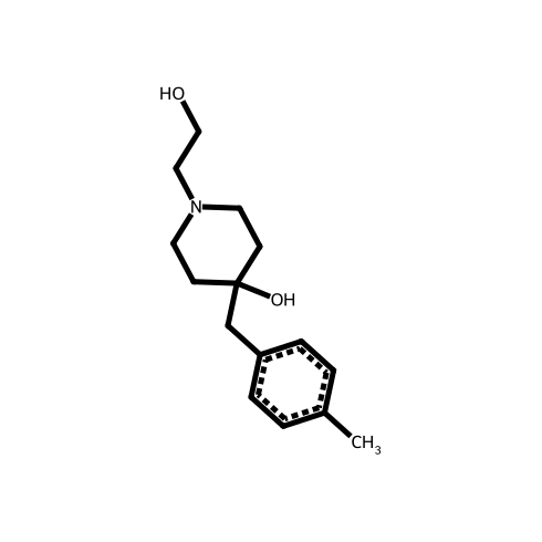 Cc1ccc(CC2(O)CCN(CCO)CC2)cc1